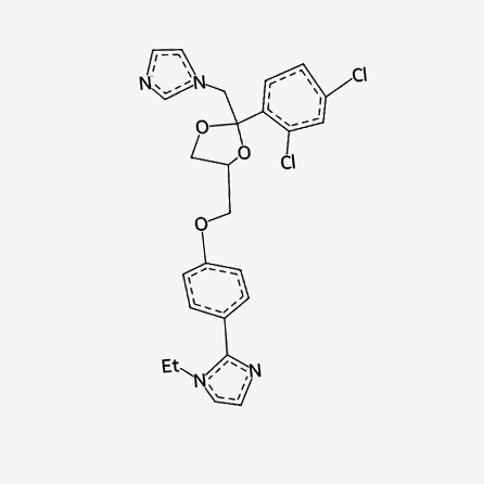 CCn1ccnc1-c1ccc(OCC2COC(Cn3ccnc3)(c3ccc(Cl)cc3Cl)O2)cc1